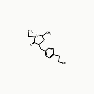 CCOC(=O)C(Cc1ccc(CCO)cc1)OC(C)C